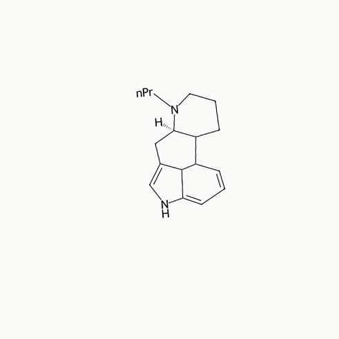 CCCN1CCCC2C3C=CC=C4NC=C(C[C@H]21)C43